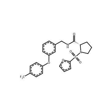 O=C(NCc1cccc(Oc2ccc(C(F)(F)F)cc2)c1)[C@@H]1CCCN1S(=O)(=O)c1ccco1